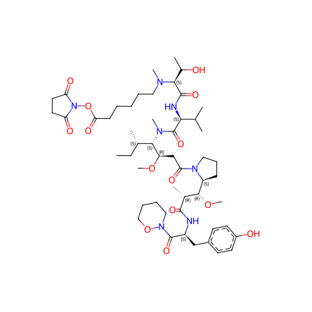 CC[C@H](C)[C@@H]([C@@H](CC(=O)N1CCC[C@H]1[C@H](OC)[C@@H](C)C(=O)N[C@@H](Cc1ccc(O)cc1)C(=O)N1CCCCO1)OC)N(C)C(=O)[C@@H](NC(=O)[C@H](C(C)O)N(C)CCCCCC(=O)ON1C(=O)CCC1=O)C(C)C